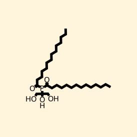 CCCCCCCCCCCCCC(=O)P(C(=O)CCCCCCCCCCCCC)C(O)(CO)CO